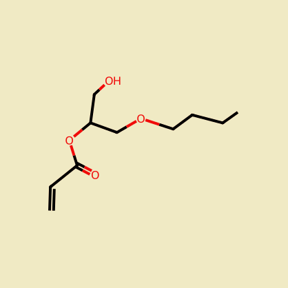 C=CC(=O)OC(CO)COCCCC